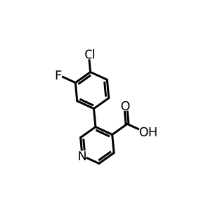 O=C(O)c1ccncc1-c1ccc(Cl)c(F)c1